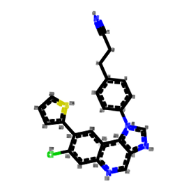 N#CCCc1ccc(-n2cnc3cnc4cc(Cl)c(-c5cccs5)cc4c32)cc1